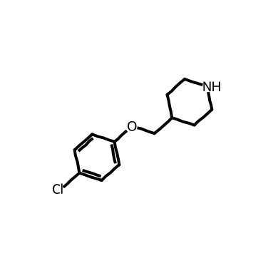 Clc1ccc(OCC2CCNCC2)cc1